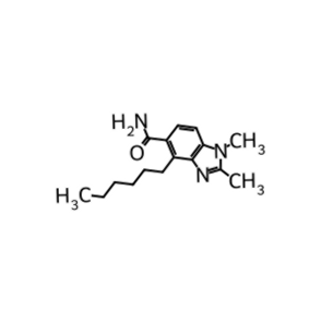 CCCCCCc1c(C(N)=O)ccc2c1nc(C)n2C